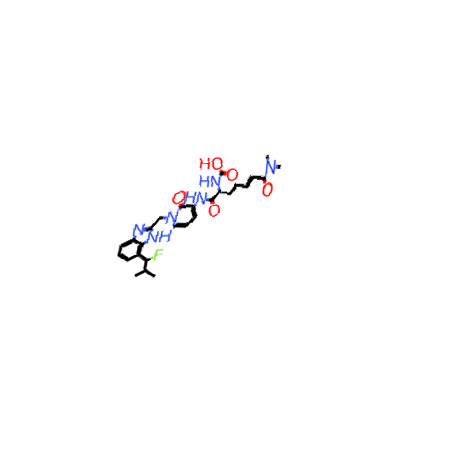 CC(C)C(F)c1cccc2nc(Cn3cccc(NC(=O)[C@H](CC/C=C/C(=O)N(C)C)NC(=O)O)c3=O)[nH]c12